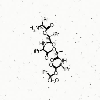 CC(C)C(NC(=O)[C@H](OC(=O)[C@@H](N)C(C)C)C(C)C)C(=O)O[C@@H](C)C(=O)N[C@H](C(=O)O[C@@H](C=O)C(C)C)C(C)C